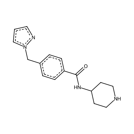 O=C(NC1CCNCC1)c1ccc(Cn2cccn2)cc1